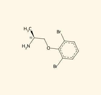 C[C@H](N)COc1c(Br)cccc1Br